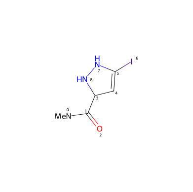 CNC(=O)C1C=C(I)NN1